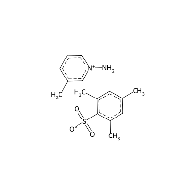 Cc1cc(C)c(S(=O)(=O)[O-])c(C)c1.Cc1ccc[n+](N)c1